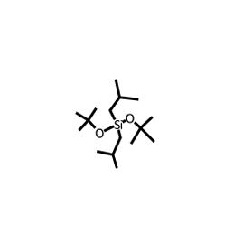 CC(C)C[Si](CC(C)C)(OC(C)(C)C)OC(C)(C)C